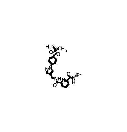 CC(C)NC(=O)c1cccc(C(=O)NCc2cnn(-c3ccc(S(=O)(=O)N(C)C)cc3)c2)n1